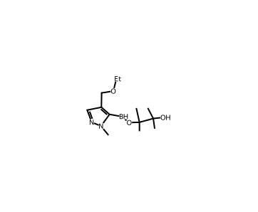 CCOCc1cnn(C)c1BOC(C)(C)C(C)(C)O